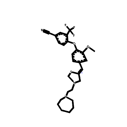 COc1cc(/C=C2/CN(CCN3CCCCCC3)CS2)ccc1Oc1ccc(C#N)cc1C(F)(F)F